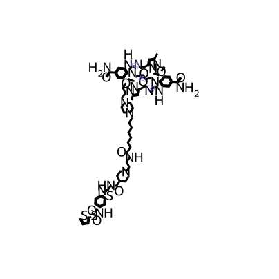 CCn1nc(C)cc1C(=O)/N=c1/[nH]c2cc(C(N)=O)cc(OC)c2n1C/C=C/Cn1/c(=N\C(=O)c2cc(C)nn2CC)[nH]c2cc(C(N)=O)cc(OCCCN3CCN(CCCCCCCC(=O)NCCN4CCC(C(=O)Nc5nc6ccc(NS(=O)(=O)c7cccs7)cc6s5)CC4)CC3)c21